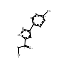 O=C(CBr)c1cc(-c2ccc(F)cc2)no1